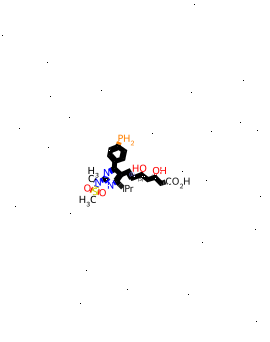 CC(C)c1nc(N(C)S(C)(=O)=O)nc(-c2ccc(P)cc2)c1/C=C/[C@@H](O)C[C@@H](O)CC(=O)O